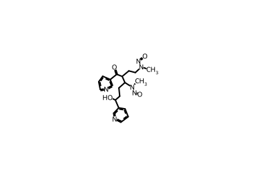 CN(CCC(C(=O)c1cccnc1)C(CCC(O)c1cccnc1)N(C)N=O)N=O